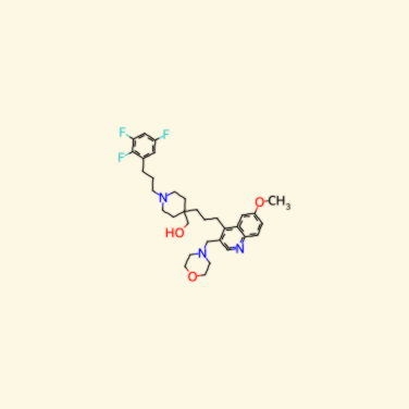 COc1ccc2ncc(CN3CCOCC3)c(CCCC3(CO)CCN(CCCc4cc(F)cc(F)c4F)CC3)c2c1